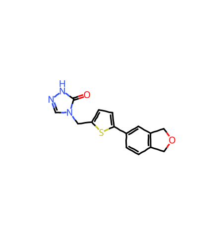 O=c1[nH]ncn1Cc1ccc(-c2ccc3c(c2)COC3)s1